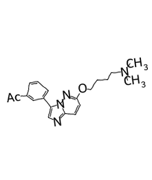 CC(=O)c1cccc(-c2cnc3ccc(OCCCCN(C)C)nn23)c1